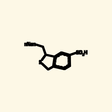 CCCCCCCCCCC1SCc2ccc(S(=O)(=O)O)cc21